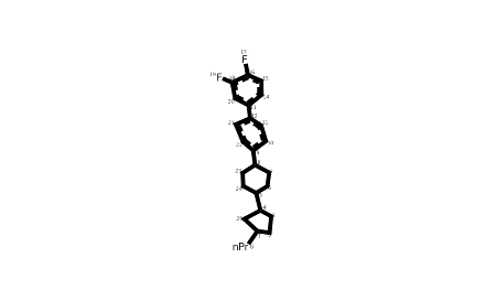 CCCC1CCC(C2CCC(c3ccc(-c4ccc(F)c(F)c4)cc3)CC2)C1